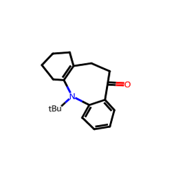 CC(C)(C)N1C2=C(CCCC2)CCC(=O)c2ccccc21